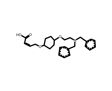 O=C(O)/C=C\COC1CCC(OCCN(Cc2ccccc2)Cc2ccccc2)CC1